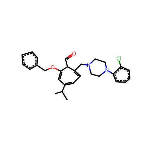 CC(C)C1=CC=C(CN2CCN(c3ccccc3Cl)CC2)C(C=O)C(OCc2ccccc2)=C1